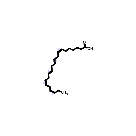 CC/C=C\C/C=C\C/C=C/C/C=C/C/C=C\CCCCCC(=O)O